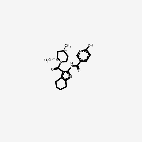 C[C@@H]1CCN(C(=O)c2c(NC(=O)c3ccc(O)nc3)sc3c2CCCC3)[C@H](C)C1